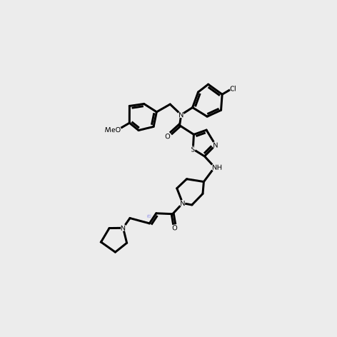 COc1ccc(CN(C(=O)c2cnc(NC3CCN(C(=O)/C=C/CN4CCCC4)CC3)s2)c2ccc(Cl)cc2)cc1